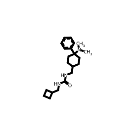 CN(C)C1(c2ccccc2)CCC(CNC(=O)NCC2CCC2)CC1